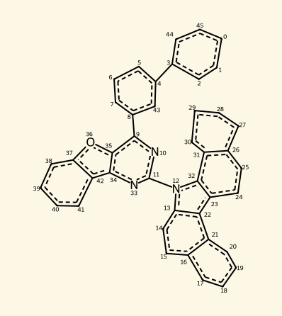 c1ccc(-c2cccc(-c3nc(-n4c5ccc6ccccc6c5c5ccc6ccccc6c54)nc4c3oc3ccccc34)c2)cc1